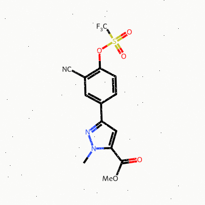 COC(=O)c1cc(-c2ccc(OS(=O)(=O)C(F)(F)F)c(C#N)c2)nn1C